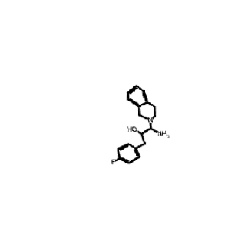 NC(C(O)Cc1ccc(F)cc1)N1CCc2ccccc2C1